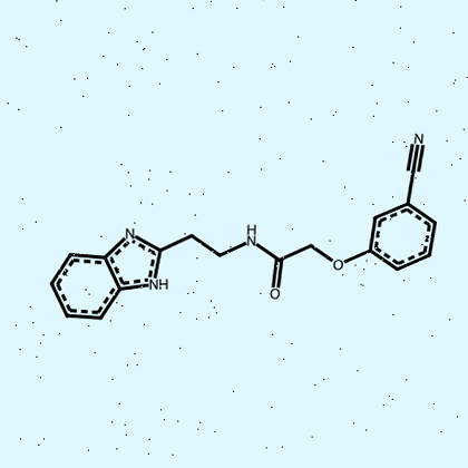 N#Cc1cccc(OCC(=O)NCCc2nc3ccccc3[nH]2)c1